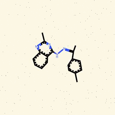 CC(=NNc1nc(C)nc2ccccc12)c1ccc(C)cc1